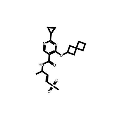 CC(/C=C/S(C)(=O)=O)NC(=O)c1cnc(C2CC2)nc1OC1CC2(CCC2)C1